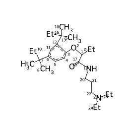 CCC(Oc1ccc(C(C)(C)CC)cc1C(C)(C)CC)C(=O)NCCCN(CC)CC